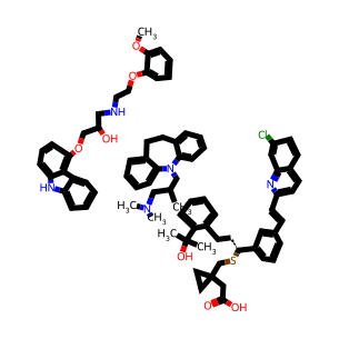 CC(C)(O)c1ccccc1CC[C@@H](SCC1(CC(=O)O)CC1)c1cccc(/C=C/c2ccc3ccc(Cl)cc3n2)c1.CC(CN(C)C)CN1c2ccccc2CCc2ccccc21.COc1ccccc1OCCNCC(O)COc1cccc2[nH]c3ccccc3c12